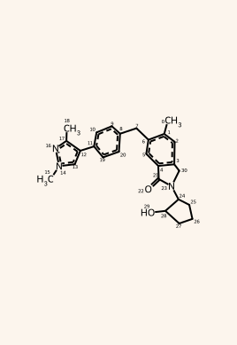 Cc1cc2c(cc1Cc1ccc(-c3cn(C)nc3C)cc1)C(=O)N(C1CCCC1O)C2